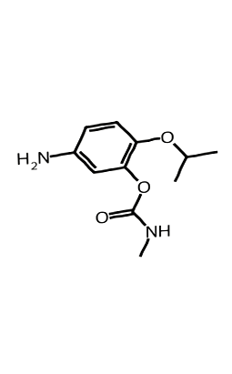 CNC(=O)Oc1cc(N)ccc1OC(C)C